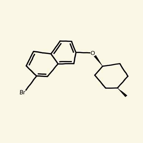 C[C@H]1CC[C@@H](Oc2ccc3ccc(Br)cc3c2)CC1